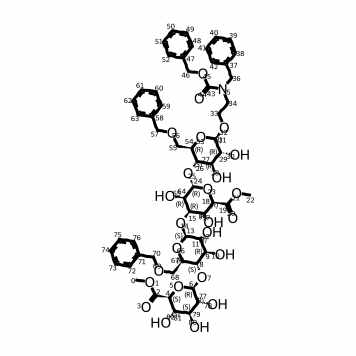 COC(=O)[C@H]1O[C@@H](O[C@H]2[C@H](O)[C@@H](O)[C@H](O[C@@H]3[C@@H](O)[C@H](C(=O)OC)O[C@@H](O[C@H]4[C@H](O)[C@@H](O)[C@H](OCCN(Cc5ccccc5)C(=O)OCc5ccccc5)O[C@@H]4COCc4ccccc4)[C@@H]3O)O[C@@H]2COCc2ccccc2)[C@H](O)[C@@H](O)[C@@H]1O